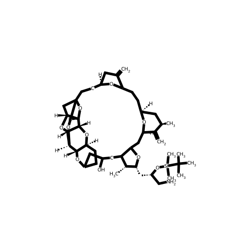 C=C1C[C@@H]2CCC34C[C@H]5O[C@H]6[C@@H](O3)[C@H]3OC(CC[C@@H]3O[C@H]6[C@H]5O4)CC(O)CC3C(C[C@H]4O[C@@H](CCC1O2)C[C@@H](C)C4=C)O[C@H](C[C@@H](CN)O[Si](C)(C)C(C)(C)C)[C@@H]3C